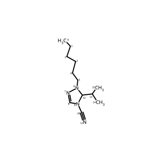 CCCCCCN1N=CN(C#N)C1C(C)C